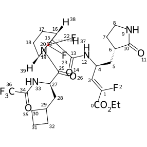 CCOC(=O)/C(F)=C/[C@H](C[C@@H]1CCNC1=O)NC(=O)[C@@H]1[C@H]2CC[C@H](CC2(F)F)N1C(=O)[C@@H](CC1CCC1)NC(=O)C(F)(F)F